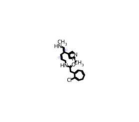 CN/C=C(\C=C/CNC(=O)CC1=CC=CCC=C1Cl)c1cnn(C)c1